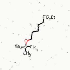 CCOC(=O)CCCCCO[Si](C)(C)C(C)(C)C